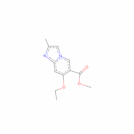 CCOc1cc2nc(C)cn2cc1C(=O)OC